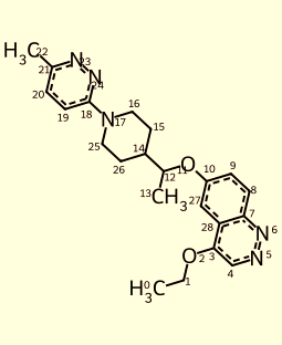 CCOc1cnnc2ccc(OC(C)C3CCN(c4ccc(C)nn4)CC3)cc12